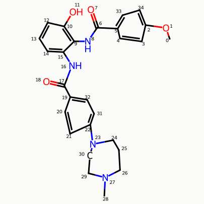 COc1ccc(C(=O)Nc2c(O)cccc2NC(=O)c2ccc(N3CCCN(C)CC3)cc2)cc1